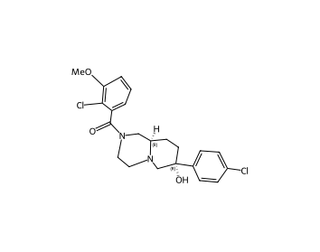 COc1cccc(C(=O)N2CCN3C[C@](O)(c4ccc(Cl)cc4)CC[C@@H]3C2)c1Cl